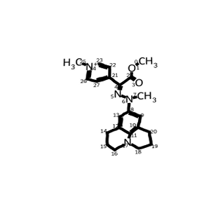 COC(=O)/C(=N\N(C)c1cc2c3c(c1)CCCN3CCC2)c1cc[n+](C)cc1